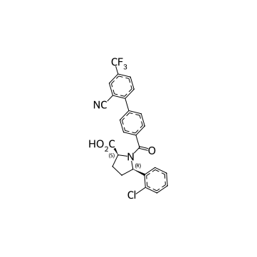 N#Cc1cc(C(F)(F)F)ccc1-c1ccc(C(=O)N2[C@@H](c3ccccc3Cl)CC[C@H]2C(=O)O)cc1